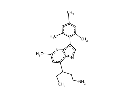 CCC(CCN)c1cc(C)nc2c(-c3c(C)cc(C)cc3C)cnn12